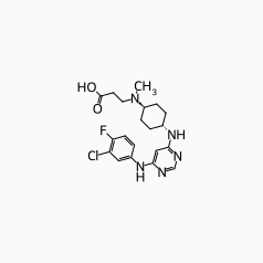 CN(CCC(=O)O)[C@H]1CC[C@H](Nc2cc(Nc3ccc(F)c(Cl)c3)ncn2)CC1